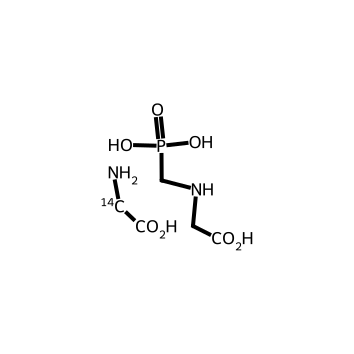 N[14CH2]C(=O)O.O=C(O)CNCP(=O)(O)O